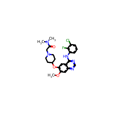 COc1cc2ncnc(Nc3cccc(Cl)c3F)c2cc1OC1CCN(CC(=O)N(C)C)CC1